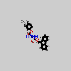 O=C(NNC(=O)Oc1ccc([N+](=O)[O-])cc1)OCC1c2ccccc2-c2ccccc21